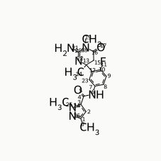 Cc1cc(C(=O)Nc2ccc(F)c(C3(C)CC(=O)N(C)C(N)=N3)c2)n(C)n1